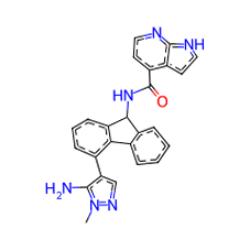 Cn1ncc(-c2cccc3c2-c2ccccc2C3NC(=O)c2ccnc3[nH]ccc23)c1N